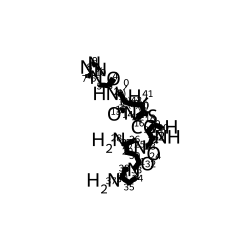 C[C@@H](NC(=O)Cn1cnnn1)[C@H]1C(=O)N2C(C(=O)O)=C(SC3CNC(C(=O)N4C[C@H](N)CC4C(=O)N4CC[C@@H](N)C4)C3)[C@H](C)[C@H]12